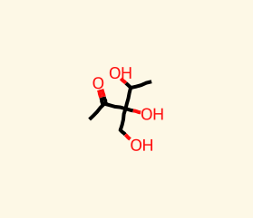 CC(=O)C(O)(CO)C(C)O